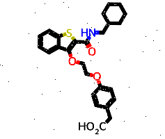 O=C(O)Cc1ccc(OCCOc2c(C(=O)NCC3CCCCC3)sc3ccccc23)cc1